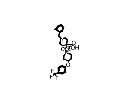 O=C(O)C1(S(=O)(=O)N2CCC(Oc3ccc(C(F)(F)F)cc3)CC2)CCN(Cc2ccccc2)CC1